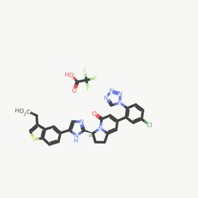 O=C(O)C(F)(F)F.O=C(O)Cc1csc2ccc(-c3cnc([C@@H]4CCc5cc(-c6cc(Cl)ccc6-n6cnnn6)cc(=O)n54)[nH]3)cc12